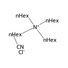 CC#N.CCCCCC[N+](CCCCCC)(CCCCCC)CCCCCC.[Cl-]